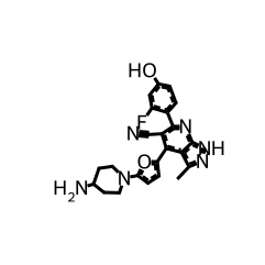 Cc1n[nH]c2nc(-c3ccc(O)cc3F)c(C#N)c(-c3ccc(N4CCC(N)CC4)o3)c12